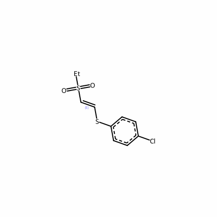 CCS(=O)(=O)/C=C/Sc1ccc(Cl)cc1